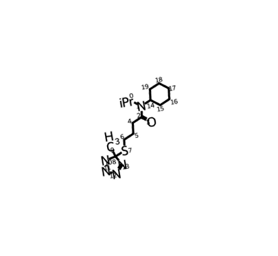 CC(C)N(C(=O)CCCSC1(C)N=NN=N1)C1CCCCC1